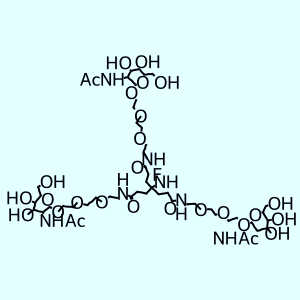 CC(=O)NC1C(OCCOCCOCCNC(=O)CCC(CCC(=O)NCCOCCOCCOC2OC(CO)C(O)C(O)C2NC(C)=O)(CCC(=O)NCCOCCOCCOC2OC(CO)C(O)C(O)C2NC(C)=O)NF)OC(CO)C(O)C1O